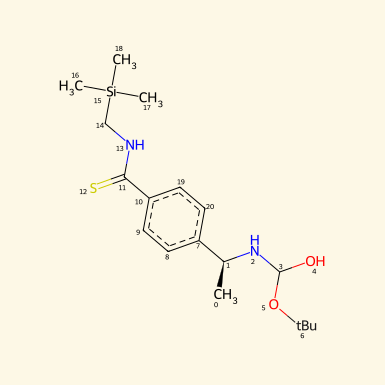 C[C@H](NC(O)OC(C)(C)C)c1ccc(C(=S)NC[Si](C)(C)C)cc1